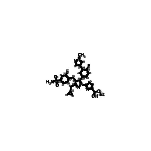 CCOC(O)c1csc(-n2nc(CC3CC3)c(Cc3ccc(S(N)(=O)=O)cc3F)c2-c2ccc(F)c(-c3cnn(C)c3)c2)n1